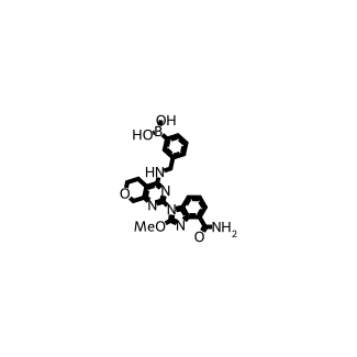 COc1nc2c(C(N)=O)cccc2n1-c1nc2c(c(NCc3cccc(B(O)O)c3)n1)CCOC2